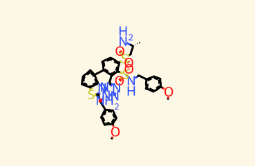 COc1ccc(CNS(=O)(=O)c2c(S(=O)(=O)C[C@@H](C)N)ccc(-c3cccc4sc(N)nc34)c2-c2nnn(Cc3ccc(OC)cc3)n2)cc1